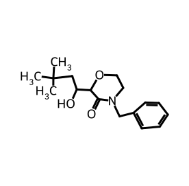 CC(C)(C)CC(O)C1OCCN(Cc2ccccc2)C1=O